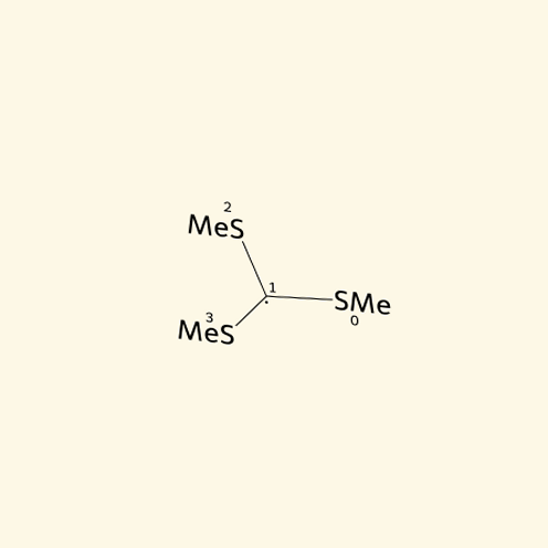 CS[C](SC)SC